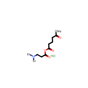 CCN(CC)CCC(=O)OC(=O)CCCC(=O)OC.Cl